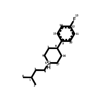 CC(C)CC[SiH]1CCC(c2ccc(F)cc2)CC1